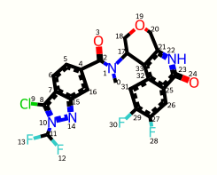 CN(C(=O)c1ccc2c(Cl)n(C(F)F)nc2c1)C1COCc2[nH]c(=O)c3cc(F)c(F)cc3c21